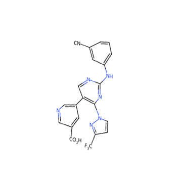 [C-]#[N+]c1cccc(Nc2ncc(-c3cncc(C(=O)O)c3)c(-n3ccc(C(F)(F)F)n3)n2)c1